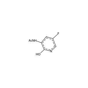 CC(=O)Nc1cc(F)cnc1O